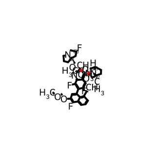 C#Cc1cccc2c(F)c(OCOC)cc(-c3c(F)cc4c(N5C[C@H]6CC[C@@](C)(C5)N6C(=O)OC(C)(C)C)nc(OC[C@@]56CCCN5C[C@H](F)C6)nc4c3F)c12